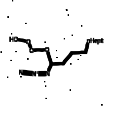 CCCCCCCCCCC(N=[N+]=[N-])OOOO